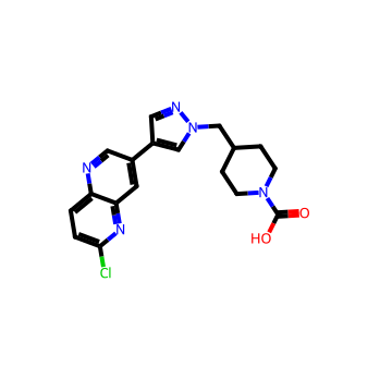 O=C(O)N1CCC(Cn2cc(-c3cnc4ccc(Cl)nc4c3)cn2)CC1